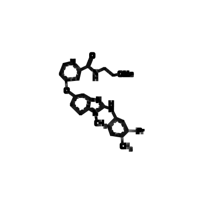 COCCNC(=O)c1cc(Oc2ccc3c(c2)nc(Nc2ccc(C)c(C(C)C)c2)n3C)ccn1